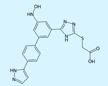 O=C(O)CSc1nnc(-c2cc(NO)cc(-c3ccc(-c4ccn[nH]4)cc3)c2)[nH]1